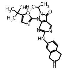 CC(C)n1c(=O)c2cnc(Nc3ccc4c(c3)CNCC4)nc2n1-c1ncc(C(C)(C)C)o1